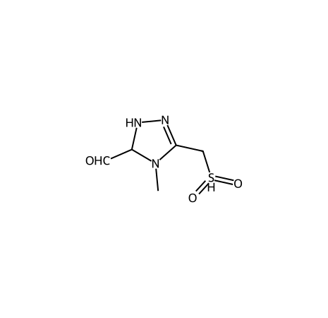 CN1C(C[SH](=O)=O)=NNC1C=O